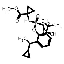 COCP(=O)(NC1(C(=O)OC)CC1)Oc1c(C(C)C)cccc1[C@H](C)C1CC1